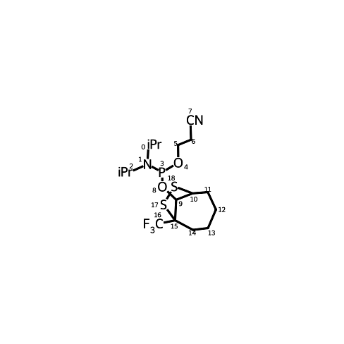 CC(C)N(C(C)C)P(OCCC#N)OC1C2CCCCC1(C(F)(F)F)SS2